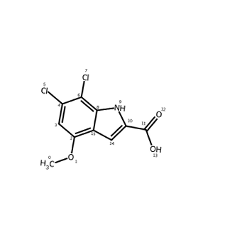 COc1cc(Cl)c(Cl)c2[nH]c(C(=O)O)cc12